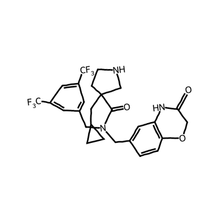 O=C1COc2ccc(CN(Cc3cc(C(F)(F)F)cc(C(F)(F)F)c3)C(=O)C3(CC4CC4)CCNC3)cc2N1